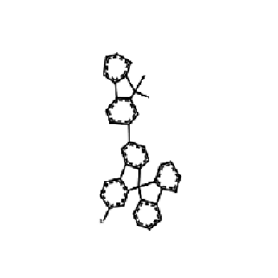 CC1(C)c2ccccc2-c2ccc(-c3ccc4c(c3)-c3ccc(Br)cc3C43c4ccccc4-c4ccccc43)cc21